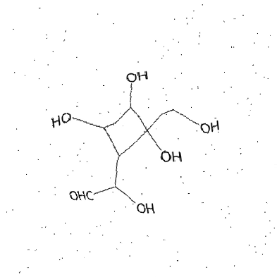 O=CC(O)C1C(O)C(O)C1(O)CO